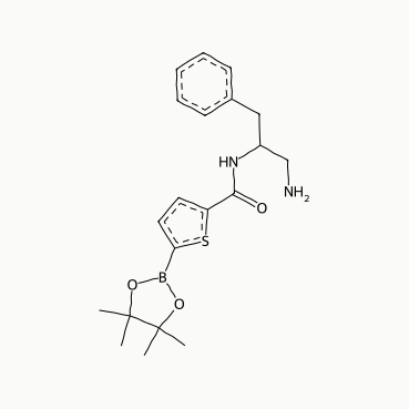 CC1(C)OB(c2ccc(C(=O)NC(CN)Cc3ccccc3)s2)OC1(C)C